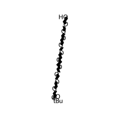 CC(C)(C)OC(=O)CCOCCOCCOCCOCCOCCOCCOCCOCCOCCOCCO